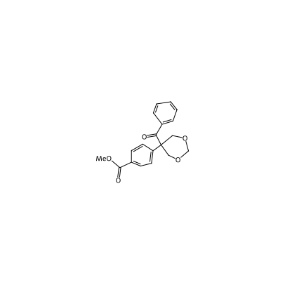 COC(=O)c1ccc(C2(C(=O)c3ccccc3)COCOC2)cc1